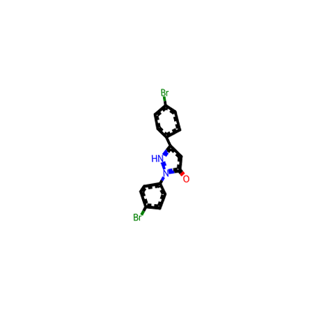 O=c1cc(-c2ccc(Br)cc2)[nH]n1-c1ccc(Br)cc1